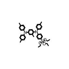 CCO[Si](OCC)(OCC)c1ccc(N(c2ccc(C)cc2)c2ccc(N(c3ccc(C)cc3)c3ccc(C)cc3)cc2C)cc1